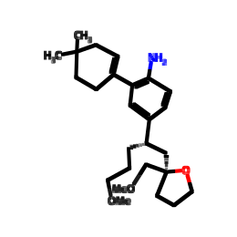 COCCC[C@@H](C[C@@]1(COC)CCCO1)c1ccc(N)c(C2=CCC(C)(C)CC2)c1